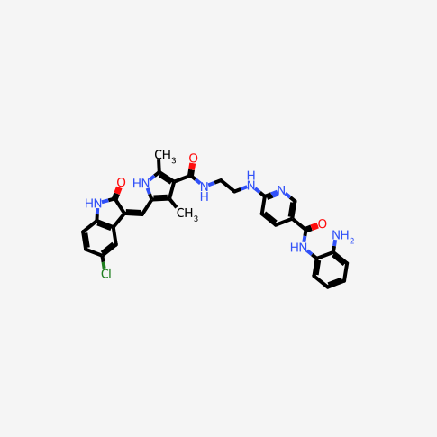 Cc1[nH]c(C=C2C(=O)Nc3ccc(Cl)cc32)c(C)c1C(=O)NCCNc1ccc(C(=O)Nc2ccccc2N)cn1